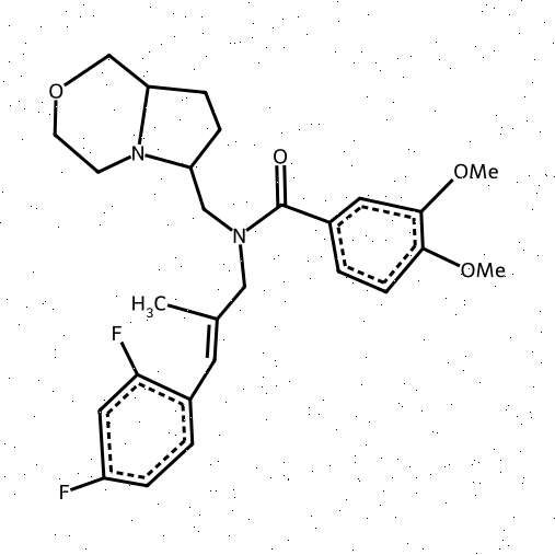 COc1ccc(C(=O)N(C/C(C)=C/c2ccc(F)cc2F)CC2CCC3COCCN32)cc1OC